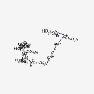 CCN1\C(=C/C=C/C=C/C2=[N+](CCCCCC(=O)NCCOCCOCCNC(=O)OCCC(C)(C)SSCOCCCCOC(=O)NC#Cc3cn(C4C5C(OCSSC)[C@@H](COP(=O)(O)OP(=O)(O)OP(=O)(O)O)O[C@H]54)c4nc(N)[nH]c(=O)c34)c3ccc(S(=O)(=O)O)cc3C2(C)C)C(C)(C)c2cc(S(=O)(=O)O)ccc21